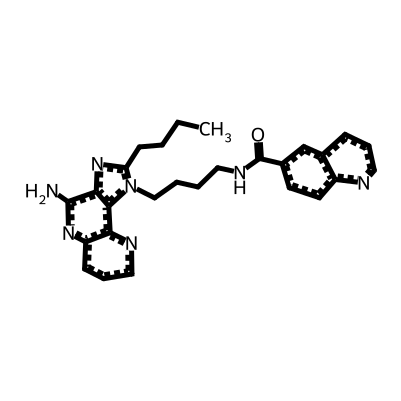 CCCCc1nc2c(N)nc3cccnc3c2n1CCCCNC(=O)c1ccc2ncccc2c1